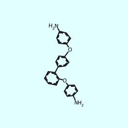 Nc1ccc(Oc2ccc(-c3ccccc3Oc3ccc(N)cc3)cc2)cc1